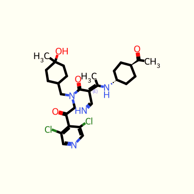 C/C(N[C@H]1CC[C@H](C(C)=O)CC1)=C(/C=N)C(=O)N(CC(=O)c1c(Cl)cncc1Cl)CC1CCC(C)(O)CC1